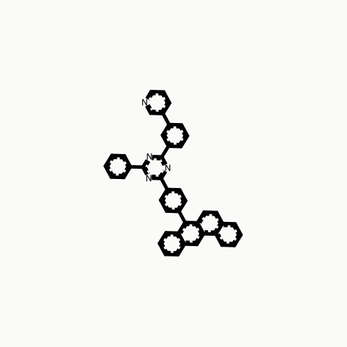 c1ccc(-c2nc(-c3ccc(-c4c5ccccc5cc5c4ccc4ccccc45)cc3)nc(-c3cccc(-c4cccnc4)c3)n2)cc1